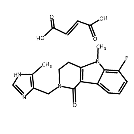 Cc1[nH]cnc1CN1CCc2c(c3cccc(F)c3n2C)C1=O.O=C(O)C=CC(=O)O